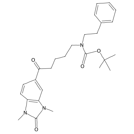 Cn1c(=O)n(C)c2cc(C(=O)CCCCN(CCc3ccccc3)C(=O)OC(C)(C)C)ccc21